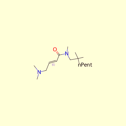 CCCCCC(C)(C)CN(C)C(=O)/C=C/CN(C)C